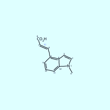 Cn1ccc2c(/C=C/C(=O)O)cccc21